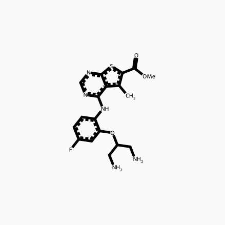 COC(=O)c1sc2ncnc(Nc3ccc(F)cc3OC(CN)CN)c2c1C